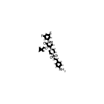 CC1(COc2c(N3CCN(S(=O)(=O)CCc4ccc(N)cc4)CC3)cnn(-c3cc(F)cc(F)c3)c2=O)CC1